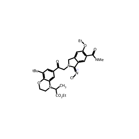 CCOC(=O)C(C)N1CCOc2c1cc(C(=O)CN1Cc3cc(OCC)c(C(=O)NC)cc3/C1=N/Cl)cc2C(C)(C)C